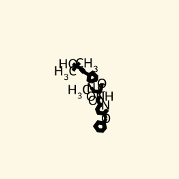 CN1C(=O)[C@@H](NC(=O)c2ccc(Oc3ccccc3)cn2)COc2ccc(C#CC(C)(C)O)cc21